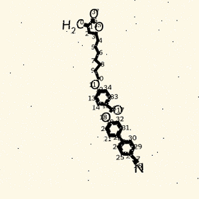 C=C1CC(CCCCCCCOc2ccc(C(=O)Oc3ccc(-c4ccc(C#N)cc4)cc3)cc2)OC1=O